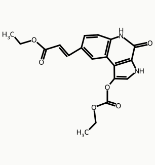 CCOC(=O)C=Cc1ccc2[nH]c(=O)c3[nH]cc(OC(=O)OCC)c3c2c1